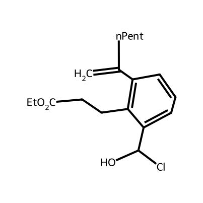 C=C(CCCCC)c1cccc(C(O)Cl)c1CCC(=O)OCC